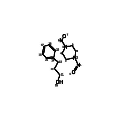 O=NN1CCN(N=O)CC1.OCCCc1ccccc1